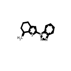 C=C1CCCc2cc(-n3nnc4ccccc43)sc21